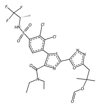 CCN(CC)C(=O)c1nc(-c2nnc(CC(C)(C)OC=O)o2)sc1-c1ccc(S(=O)(=O)N[C@@H](C)C(F)(F)F)c(Cl)c1Cl